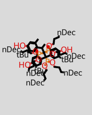 CCCCCCCCCCCCCOP(OCCCCCCCCCCCCC)C(c1cc(C(C)(C)C)c(O)cc1C)(c1cc(C(C)(C)C)c(O)cc1C)C(C(C)c1cc(C(C)(C)C)c(O)cc1C)(P(OCCCCCCCCCCCCC)OCCCCCCCCCCCCC)P(OCCCCCCCCCCCCC)OCCCCCCCCCCCCC